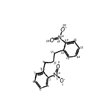 O=[N+]([O-])c1ccccc1[CH]CCc1ccccc1[N+](=O)[O-]